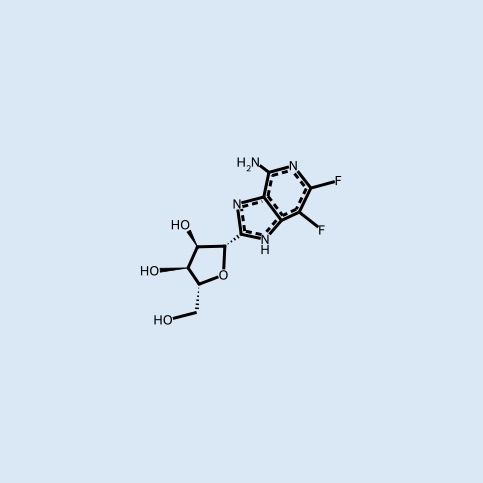 Nc1nc(F)c(F)c2[nH]c([C@@H]3O[C@H](CO)[C@@H](O)[C@H]3O)nc12